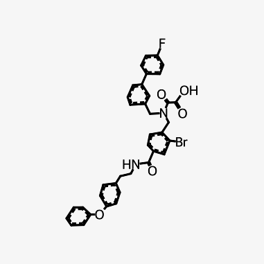 O=C(O)C(=O)N(Cc1cccc(-c2ccc(F)cc2)c1)Cc1ccc(C(=O)NCCc2ccc(Oc3ccccc3)cc2)cc1Br